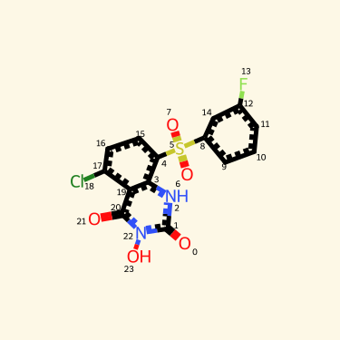 O=c1[nH]c2c(S(=O)(=O)c3cccc(F)c3)ccc(Cl)c2c(=O)n1O